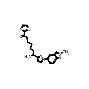 Cn1cc2cc(-n3ccc(C(N)CCCCCC(=O)c4ncco4)n3)ccc2n1